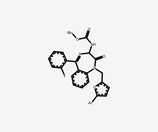 CC(=O)c1ccc(CN2C(=O)C(NC(=O)OC(C)(C)C)N=C(c3ccccc3F)c3ccccc32)o1